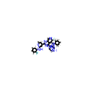 Fc1ccccc1Nc1cc(-c2nc(N3CCNCC3)c3c(Nc4ccccc4F)cncc3n2)ccn1